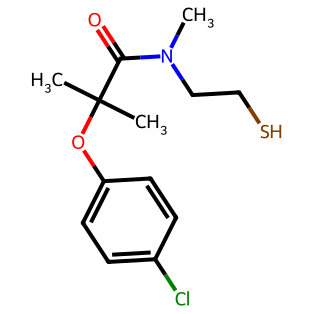 CN(CCS)C(=O)C(C)(C)Oc1ccc(Cl)cc1